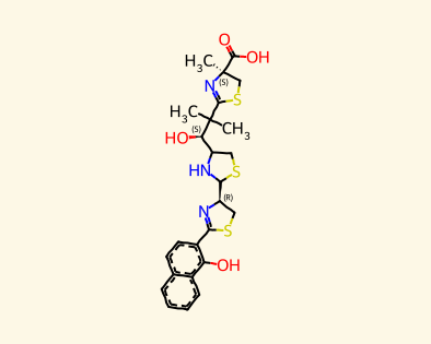 CC(C)(C1=N[C@@](C)(C(=O)O)CS1)[C@H](O)C1CSC([C@H]2CSC(c3ccc4ccccc4c3O)=N2)N1